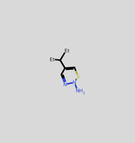 CCC(CC)C1=CSN(N)N=C1